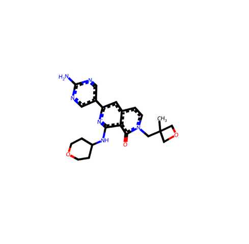 CC1(Cn2ccc3cc(-c4cnc(N)nc4)nc(NC4CCOCC4)c3c2=O)COC1